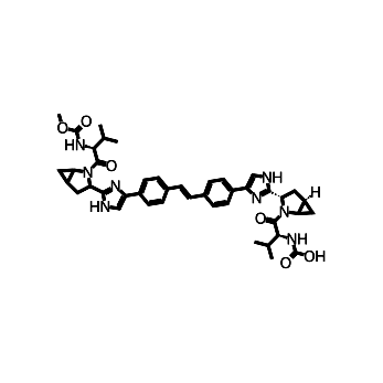 COC(=O)N[C@H](C(=O)N1C(c2nc(-c3ccc(/C=C/c4ccc(-c5c[nH]c([C@@H]6C[C@H]7CC7N6C(=O)[C@@H](NC(=O)O)C(C)C)n5)cc4)cc3)c[nH]2)CC2CC21)C(C)C